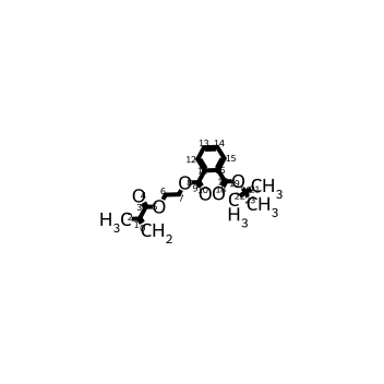 C=C(C)C(=O)OCCOC(=O)c1ccccc1C(=O)OC(C)(C)C